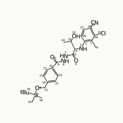 Cc1c(NC(C(=O)NNC(=O)c2ccc(CO[Si](C)(C)C(C)(C)C)cc2)C(C)O)ccc(C#N)c1Cl